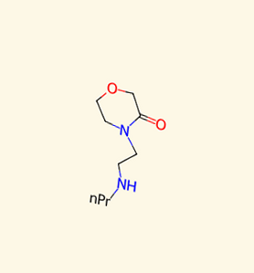 CCCNCCN1CCOCC1=O